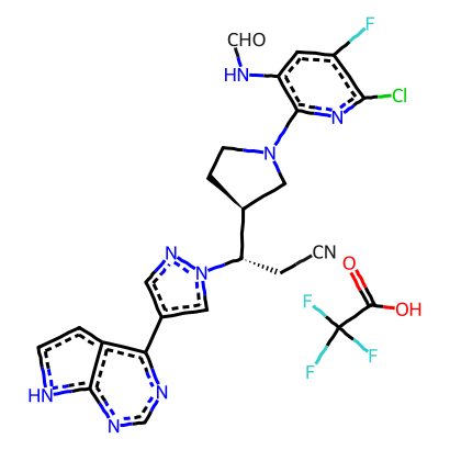 N#CC[C@@H]([C@H]1CCN(c2nc(Cl)c(F)cc2NC=O)C1)n1cc(-c2ncnc3[nH]ccc23)cn1.O=C(O)C(F)(F)F